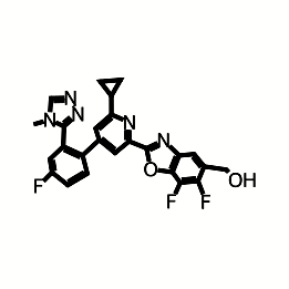 Cn1cnnc1-c1cc(F)ccc1-c1cc(-c2nc3cc(CO)c(F)c(F)c3o2)nc(C2CC2)c1